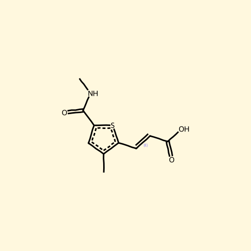 CNC(=O)c1cc(C)c(/C=C/C(=O)O)s1